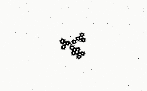 c1ccc(-c2ccc(-c3ccc(N(c4ccc(-c5cccc6c(-c7ccccc7)c(-c7ccccc7)c7ccccc7c56)cc4)c4ccc(-c5ccccc5)c(-c5ccccc5)c4)cc3)cc2-c2ccccc2)cc1